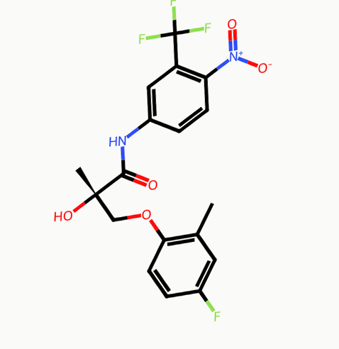 Cc1cc(F)ccc1OC[C@](C)(O)C(=O)Nc1ccc([N+](=O)[O-])c(C(F)(F)F)c1